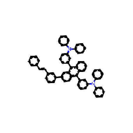 C(=C\c1cccc(-c2ccc3c(-c4cccc(N(c5ccccc5)c5ccccc5)c4)c4ccccc4c(-c4cccc(N(c5ccccc5)c5ccccc5)c4)c3c2)c1)/c1ccccc1